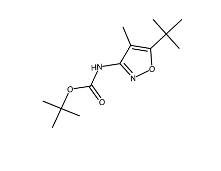 Cc1c(NC(=O)OC(C)(C)C)noc1C(C)(C)C